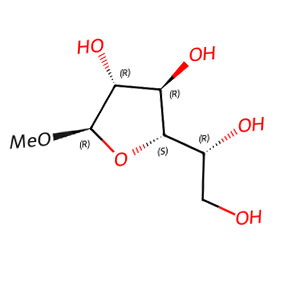 CO[C@@H]1O[C@@H]([C@H](O)CO)[C@H](O)[C@H]1O